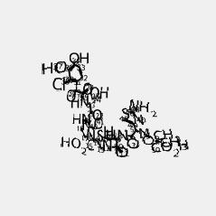 CC(C)(O/N=C(\C(=O)N[C@@H]1C(=O)N2C[C@@](C(=O)O)(N3CCN(NC(=O)[C@@H](CO)NC(=O)C(=O)c4ccc(O)c(O)c4Cl)C3=O)S[C@H]12)c1csc(N)n1)C(=O)O